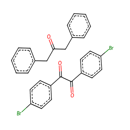 O=C(C(=O)c1ccc(Br)cc1)c1ccc(Br)cc1.O=C(Cc1ccccc1)Cc1ccccc1